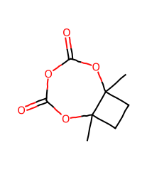 CC12CCC1(C)OC(=O)OC(=O)O2